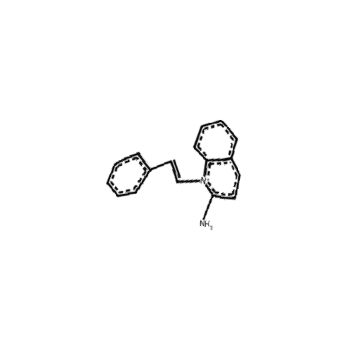 Nc1ccc2ccccc2[n+]1C=Cc1ccccc1